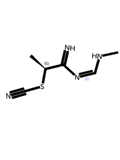 CN/C=N\C(=N)[C@H](C)SC#N